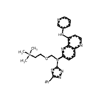 CC(C)c1nnc(N(COCC[Si](C)(C)C)c2ccc3nccc(Nc4cccnc4)c3n2)s1